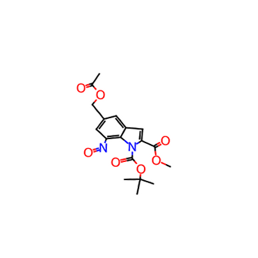 COC(=O)c1cc2cc(COC(C)=O)cc(N=O)c2n1C(=O)OC(C)(C)C